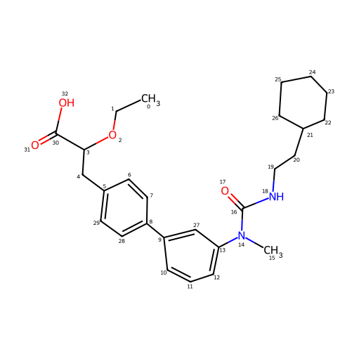 CCOC(Cc1ccc(-c2cccc(N(C)C(=O)NCCC3CCCCC3)c2)cc1)C(=O)O